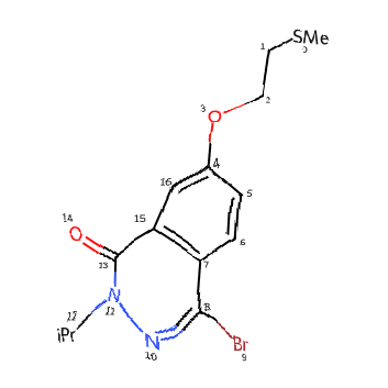 CSCCOc1ccc2c(Br)nn(C(C)C)c(=O)c2c1